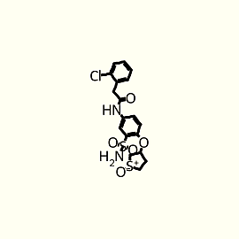 NS(=O)(=O)c1cc(NC(=O)Cc2ccccc2Cl)ccc1OC1CC[S+]([O-])C1